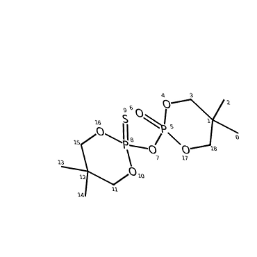 CC1(C)COP(=O)(OP2(=S)OCC(C)(C)CO2)OC1